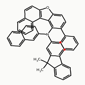 CC1(C)c2ccccc2-c2ccc(N(c3ccc4ccccc4c3)c3c(-c4ccccc4)ccc4oc5ccc6ccccc6c5c34)cc21